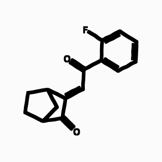 O=C(/C=C1/C(=O)C2CCC1C2)c1ccccc1F